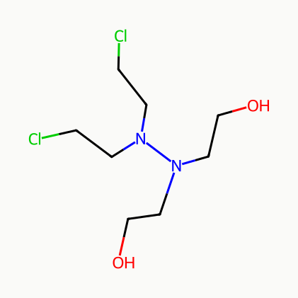 OCCN(CCO)N(CCCl)CCCl